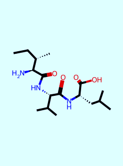 CC[C@H](C)[C@H](N)C(=O)N[C@H](C(=O)N[C@@H](CC(C)C)C(=O)O)C(C)C